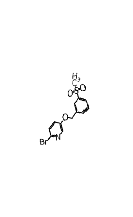 CS(=O)(=O)c1cccc(COc2ccc(Br)nc2)c1